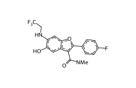 CNC(=O)c1c(-c2ccc(F)cc2)oc2cc(NCC(F)(F)F)c(O)cc12